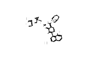 CCc1c(F)ccc2cc(O)cc(-c3ccc4c(N5CC6CCC(C5)N6)nc(OCC5(CN6C[C@H]7C[C@@H]6CO7)CC5)nc4c3F)c12